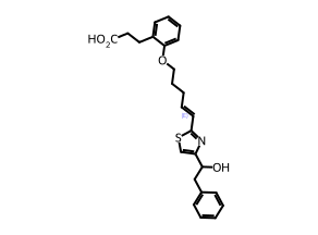 O=C(O)CCc1ccccc1OCCC/C=C/c1nc(C(O)Cc2ccccc2)cs1